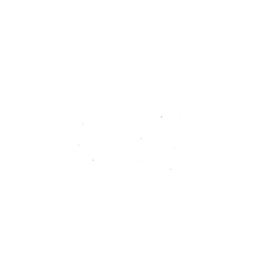 COC(O)c1cccc(Cc2ccccc2)c1